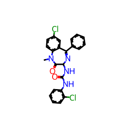 CN1C(=O)C(NC(=O)Nc2ccccc2Cl)N=C(c2ccccc2)c2cc(Cl)ccc21